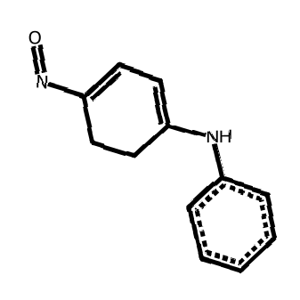 O=NC1=CC=C(Nc2ccccc2)CC1